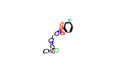 O=Cc1ccc(N2CCC(CC3CCN(S(=O)(=O)c4cccc(F)c4)CC3)CC2)cc1Cl